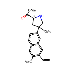 C=Cc1cc2cc(C3(OC(C)=O)CN[C@H](C(=O)OC)C3)ccc2cc1OC